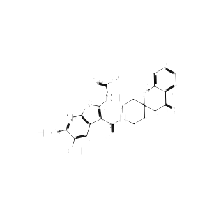 Cc1cc2c(C(=O)N3CCC4(CC3)CC(=O)c3ccccc3S4)c(NC(=O)O)sc2nc1C